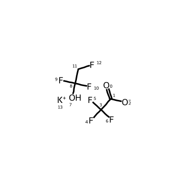 O=C([O-])C(F)(F)F.OC(F)(F)CF.[K+]